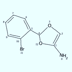 NC1=COC(c2ccccc2Br)O1